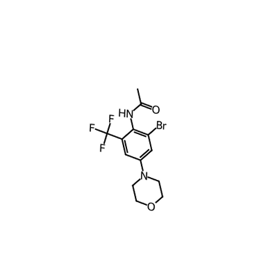 CC(=O)Nc1c(Br)cc(N2CCOCC2)cc1C(F)(F)F